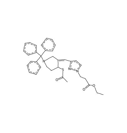 CCOC(=O)CCn1ccc(C=C2CN(C(c3ccccc3)(c3ccccc3)c3ccccc3)CCC2SC(C)=O)n1